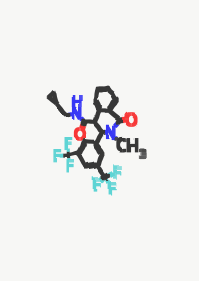 CN1C(=O)c2ccccc2C(C(=O)NCC2CC2)C1c1cc(C(F)(F)F)cc(C(F)(F)F)c1